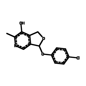 Cc1ncc2c(c1O)COC2Oc1ccc(Cl)cc1